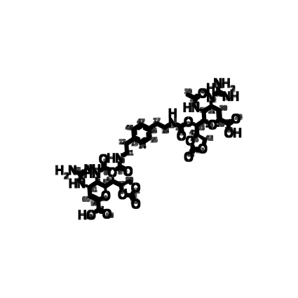 CC(=O)N[C@H]1[C@H]([C@H](OC(=O)NCCc2ccc(CCNC(=O)O[C@@H]([C@@H]3OC(C(=O)O)=C[C@H](NC(=N)N)[C@H]3NC(C)=O)[C@H]3COC(=O)O3)cc2)[C@H]2COC(=O)O2)OC(C(=O)O)=C[C@@H]1NC(=N)N